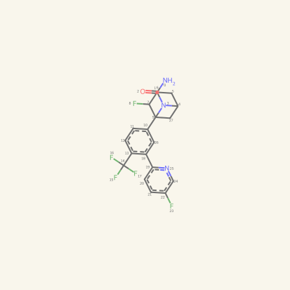 NC(=O)N1C2CCC(F)C1(c1ccc(C(F)(F)F)c(-c3ccc(F)cn3)c1)C2